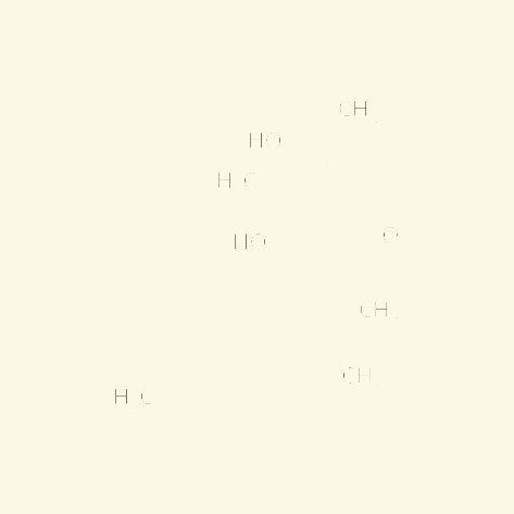 CC1CCC([C@]2(C)OCC(C)(O)[C@]2(C)O)C(C)C1